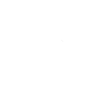 Fc1ccc(C=CCC2CCCN2)cc1